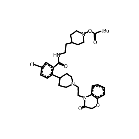 CC(C)(C)C(=O)ON1CCC(CCNC(=O)c2cc(Cl)ccc2C2CCN(CCN3C(=O)COc4ccccc43)CC2)CC1